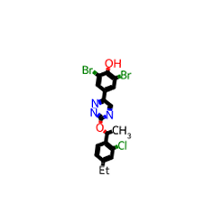 CCc1ccc(C(C)Oc2ncc(-c3cc(Br)c(O)c(Br)c3)nn2)c(Cl)c1